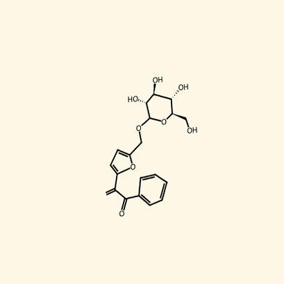 C=C(C(=O)c1ccccc1)c1ccc(COC2O[C@H](CO)[C@@H](O)[C@H](O)[C@H]2O)o1